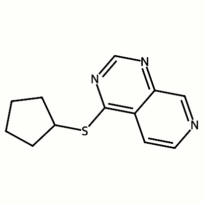 c1cc2c(SC3CCCC3)ncnc2cn1